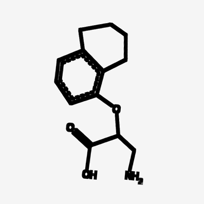 NCC(Oc1cccc2c1CCCC2)C(=O)O